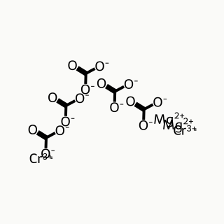 O=C([O-])[O-].O=C([O-])[O-].O=C([O-])[O-].O=C([O-])[O-].O=C([O-])[O-].[Cr+3].[Cr+3].[Mg+2].[Mg+2]